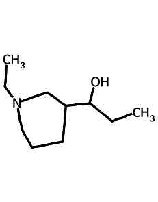 CCC(O)C1CCCN(CC)C1